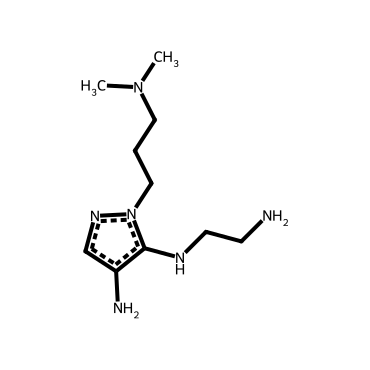 CN(C)CCCn1ncc(N)c1NCCN